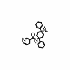 CN(C)C1(c2ccccc2)CCC(c2ccccc2)(N(C)C(=O)c2cccnc2)CC1